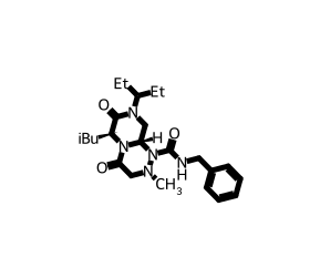 CCC(C)[C@H]1C(=O)N(C(CC)CC)C[C@H]2N1C(=O)CN(C)N2C(=O)NCc1ccccc1